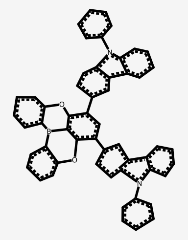 c1ccc(-n2c3ccccc3c3cc(-c4cc(-c5ccc6c(c5)c5ccccc5n6-c5ccccc5)c5c6c4Oc4ccccc4B6c4ccccc4O5)ccc32)cc1